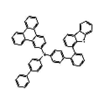 c1ccc(-c2ccc(N(c3ccc(-c4ccccc4-c4cccc5c4sc4ccccc45)cc3)c3ccc4c5ccccc5c5ccccc5c4c3)cc2)cc1